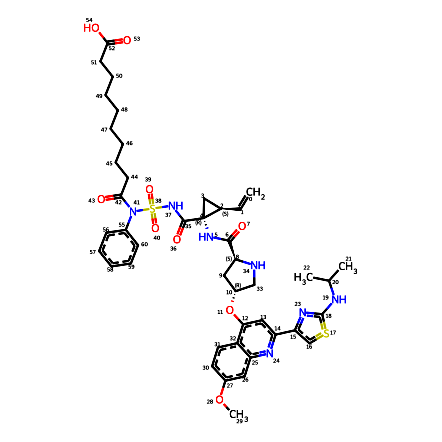 C=C[C@@H]1C[C@]1(NC(=O)[C@@H]1C[C@@H](Oc2cc(-c3csc(NC(C)C)n3)nc3cc(OC)ccc23)CN1)C(=O)NS(=O)(=O)N(C(=O)CCCCCCCCC(=O)O)c1ccccc1